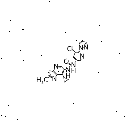 Cc1nc2c(C3CC3)c(NC(=O)Nc3cnc(-n4cccn4)c(Cl)c3)cnc2s1